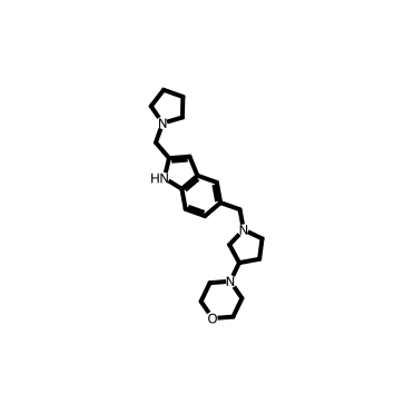 c1cc2[nH]c(CN3CCCC3)cc2cc1CN1CCC(N2CCOCC2)C1